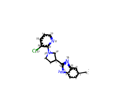 [C]c1ccc2[nH]c(C3CCN(c4ncccc4Cl)C3)nc2c1